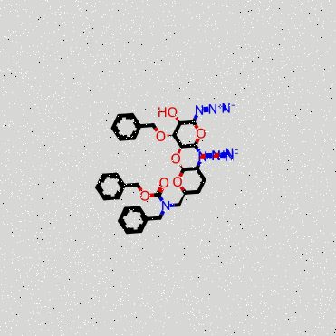 [N-]=[N+]=NC1CC[C@@H](CN(Cc2ccccc2)C(=O)OCc2ccccc2)O[C@@H]1O[C@@H]1C(N=[N+]=[N-])OC(N=[N+]=[N-])[C@H](O)[C@H]1OCc1ccccc1